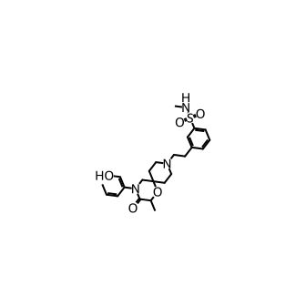 C/C=C\C(=C/O)N1CC2(CCN(CCc3cccc(S(=O)(=O)NC)c3)CC2)OC(C)C1=O